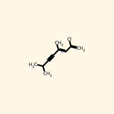 C=C(Cl)/C=C(\C)C#CC(C)C